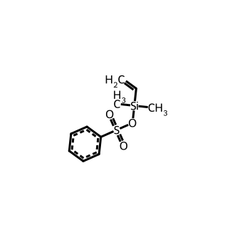 C=C[Si](C)(C)OS(=O)(=O)c1ccccc1